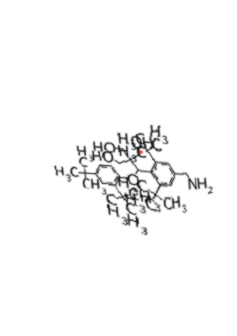 CC(C)(C)c1ccc(OC(c2c(C(C)(C)C)cc(CN)cc2C(C)(C)C)C(CO)(CO)CO)c(C(C)(C)C)c1